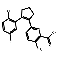 Cc1ccc(C2=C(c3cc(Cl)ccc3O)CCC2)nc1C(=O)O